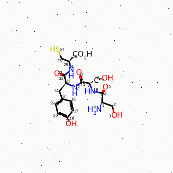 N[C@@H](CO)C(=O)N[C@@H](CO)C(=O)N[C@@H](Cc1ccc(O)cc1)C(=O)N[C@@H](CS)C(=O)O